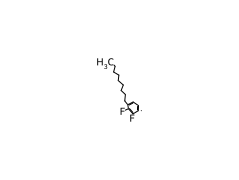 CCCCCCCCCc1cc[c]c(F)c1F